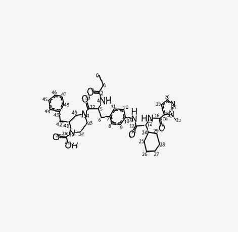 CCC(=O)NC(Cc1ccc(NC(=O)C(NC(=O)c2ccnn2C)C2CCCCC2)cc1)C(=O)N1CCN(C(=O)O)[C@@H](Cc2ccccc2)C1